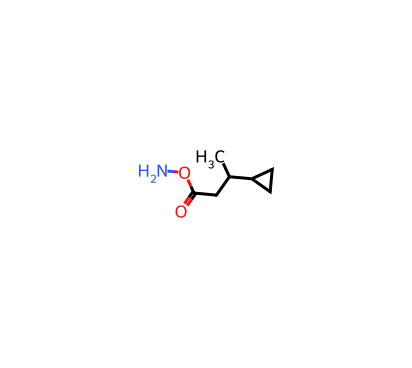 CC(CC(=O)ON)C1CC1